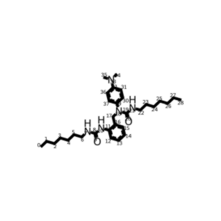 CCCCCCCNC(=O)Nc1ccccc1CN(C(=O)NCCCCCCC)c1ccc(N(C)C)cc1